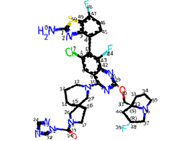 Nc1nc2c(-c3c(Cl)cc4c(N5CCCC6(CCN(C(=O)n7cncn7)C6)C5)nc(OC[C@@]56CCCN5C[C@H](F)C6)nc4c3F)ccc(F)c2s1